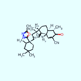 CC(=O)/C=C1/[C@@]2(C)C=C(C#N)C(=O)[C@@H](C)[C@@H]2CC[C@@]1(C)C(C)(C)CC[C@@]1(c2nnc(C)o2)CCC(C)(C)CC1C